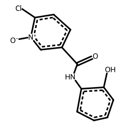 O=C(Nc1ccccc1O)c1ccc(Cl)[n+]([O-])c1